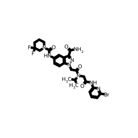 CC(C)N(CC(=O)Nc1cccc(Br)n1)C(=O)Cn1nc(C(N)=O)c2cc(NC(=O)N3CCCC(F)(F)C3)ccc21